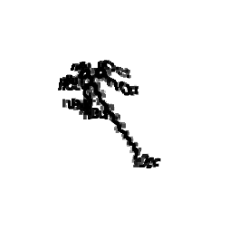 CCCCCCCCCCCCCCCCCCCCCCCCCCC=CC(C(=C=[N+]=[N-])CCCCCCCC)=C(c1cc(CCCC)cc(CCCC)c1)c1cc(CCCCCCCC)cc(CCCCCCCC)c1.CCC[CH2][Ni][CH2]CCC